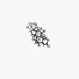 C[C@]12CCC(=O)C=C1[C@@H]1C[C@@H]1[C@H]1[C@@H]3CC[C@](C)(OC=O)[C@@]3(C)C[C@H]3OC132